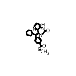 COC(=O)c1ccc2c(C3CCCCC3)c3n(c2c1)CC(=O)Nc1cccnc1-3